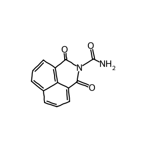 NC(=O)N1C(=O)c2cccc3cccc(c23)C1=O